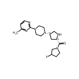 Cc1ccnc(N2CCN([C@@H]3CN[C@H](C(=O)N4CCC(F)C4)C3)CC2)n1